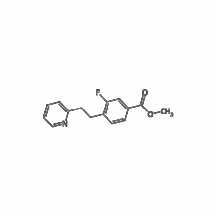 COC(=O)c1ccc(CCc2ccccn2)c(F)c1